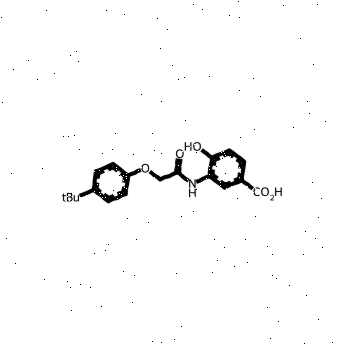 CC(C)(C)c1ccc(OCC(=O)Nc2cc(C(=O)O)ccc2O)cc1